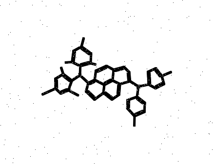 Cc1ccc(N(c2ccc(C)cc2)c2ccc3ccc4c(B(c5c(C)cc(C)cc5C)c5c(C)cc(C)cc5C)ccc5ccc2c3c54)cc1